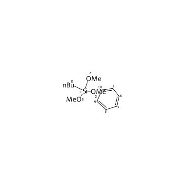 CCCC[Si](OC)(OC)OC.c1ccccc1